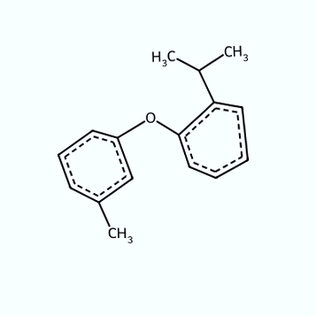 Cc1cccc(Oc2ccccc2C(C)C)c1